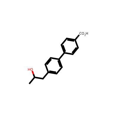 CC(O)Cc1ccc(-c2ccc(C(=O)O)cc2)cc1